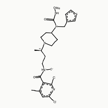 CONC(=O)N(Cc1ccsc1)C1CCN([C@H](C)CC[NH+]([O-])C(=O)c2c(C)cc(Cl)nc2Cl)CC1